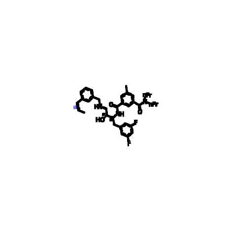 C/C=C\c1cccc(CNC[C@@H](O)[C@H](Cc2cc(F)cc(F)c2)NC(=O)c2cc(C)cc(C(=O)N(CCC)CCC)c2)c1